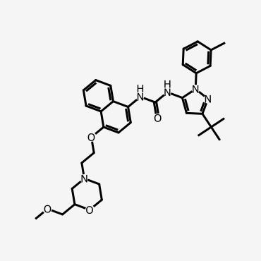 COCC1CN(CCOc2ccc(NC(=O)Nc3cc(C(C)(C)C)nn3-c3cccc(C)c3)c3ccccc23)CCO1